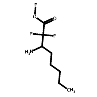 CCCCCC(N)C(F)(F)C(=O)OF